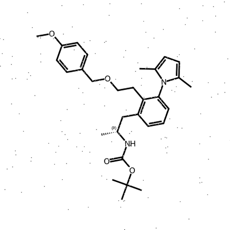 COc1ccc(COCCc2c(C[C@@H](C)NC(=O)OC(C)(C)C)cccc2-n2c(C)ccc2C)cc1